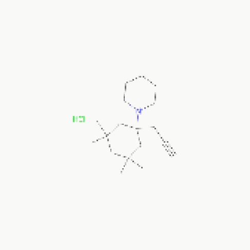 C#CCC1(N2CCCCC2)CC(C)(C)CC(C)(C)C1.Cl